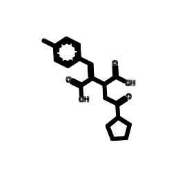 Cc1ccc(C=C(C(=O)O)C(CC(=O)C2CCCC2)C(=O)O)cc1